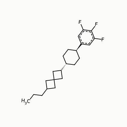 CCCC1CC2(C1)CC([C@H]1CC[C@H](c3cc(F)c(F)c(F)c3)CC1)C2